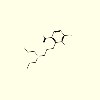 CCCN(CCC)CCCc1c(C(=O)O)ccc(N)c1N